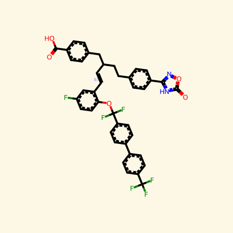 O=C(O)c1ccc(CC(/C=C/c2cc(F)ccc2OC(F)(F)c2ccc(-c3ccc(C(F)(F)F)cc3)cc2)CCc2ccc(-c3noc(=O)[nH]3)cc2)cc1